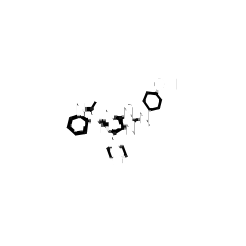 Cc1nc2ccccc2n1-c1nc(N2CCOCC2)c2nc(N(C)C3CCC(O)CC3)n(C)c2n1